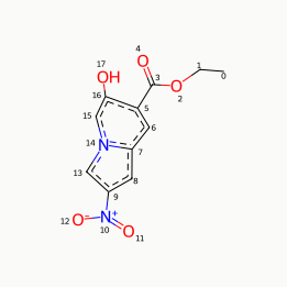 CCOC(=O)c1cc2cc([N+](=O)[O-])cn2cc1O